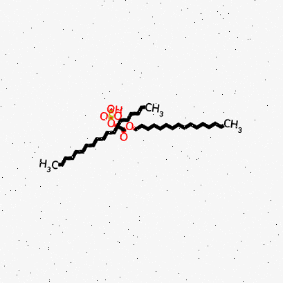 CCCCCCCCCCCCCCCCOC(=O)C(CCCCCC)(CCCCCCCCCCCC)OS(=O)(=O)O